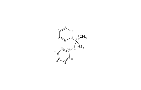 C[C@]1(c2ccccc2)O[C@@H]1c1ccccc1